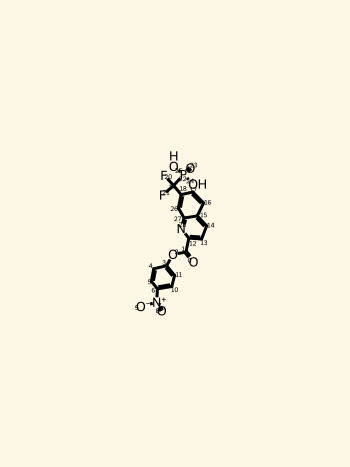 O=C(Oc1ccc([N+](=O)[O-])cc1)c1ccc2ccc(C(F)(F)P(=O)(O)O)cc2n1